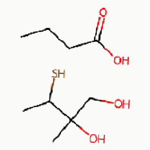 CC(S)C(C)(O)CO.CCCC(=O)O